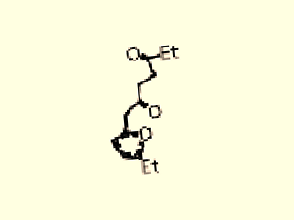 CCC(=O)CCC(=O)Cc1ccc(CC)o1